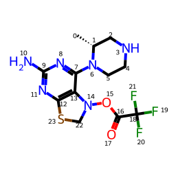 C[C@@H]1CNCCN1c1nc(N)nc2c1N(OC(=O)C(F)(F)F)CS2